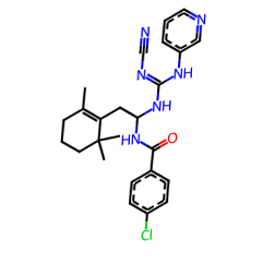 CC1=C(CC(NC(=O)c2ccc(Cl)cc2)NC(=NC#N)Nc2cccnc2)C(C)(C)CCC1